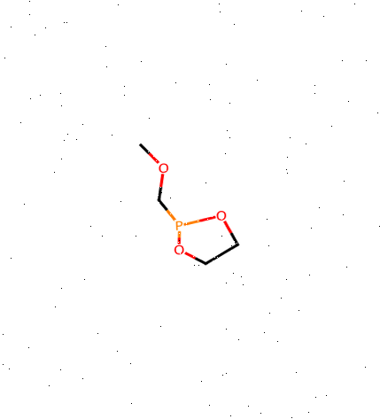 COCP1OCCO1